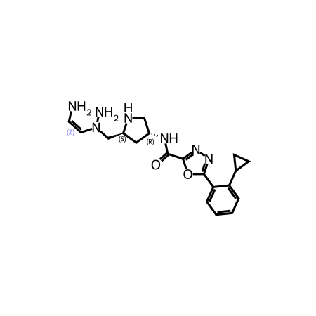 N/C=C\N(N)C[C@@H]1C[C@@H](NC(=O)c2nnc(-c3ccccc3C3CC3)o2)CN1